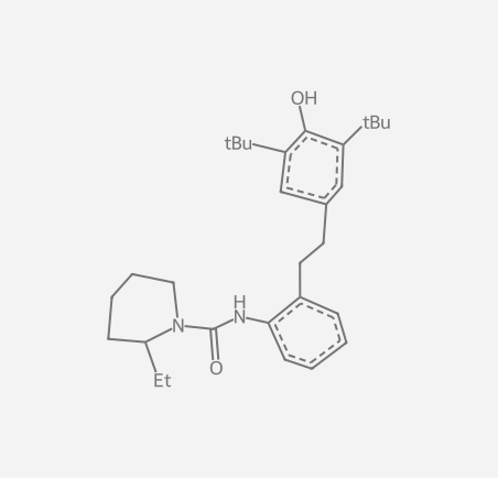 CCC1CCCCN1C(=O)Nc1ccccc1CCc1cc(C(C)(C)C)c(O)c(C(C)(C)C)c1